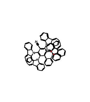 N#Cc1c(-n2c3ccccc3c3ccccc32)c(-n2c3ccccc3c3ccccc32)c(-c2ccccc2-n2c3ccccc3c3cccnc32)c(-n2c3ccccc3c3ccccc32)c1-n1c2ccccc2c2ccccc21